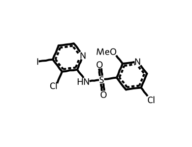 COc1ncc(Cl)cc1S(=O)(=O)Nc1nccc(I)c1Cl